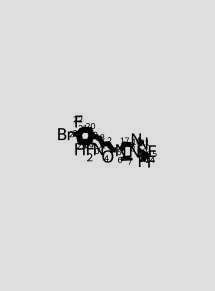 N[C@@H](CC(=O)N1CCn2c(nnc2C(F)(F)F)C1)Cc1cc(F)c(Br)cc1F